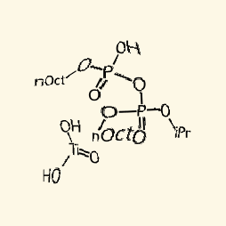 CCCCCCCCOP(=O)(O)OP(=O)(OCCCCCCCC)OC(C)C.[O]=[Ti]([OH])[OH]